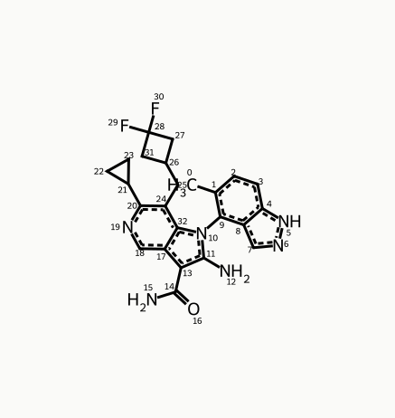 Cc1ccc2[nH]ncc2c1-n1c(N)c(C(N)=O)c2cnc(C3CC3)c(CC3CC(F)(F)C3)c21